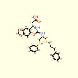 O=C(O)C[C@H](NC(=O)N[C@@H](CSCCCc1ccccc1)CSc1ccccc1)c1ccc2c(c1)OCO2